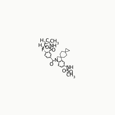 CC(C)(C)NS(=O)(=O)c1cc(C(=O)N2CC3(CCC4(CC4)CC3)c3cc(NS(C)(=O)=O)ccc32)ccc1F